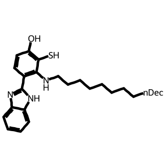 CCCCCCCCCCCCCCCCCCNc1c(-c2nc3ccccc3[nH]2)ccc(O)c1S